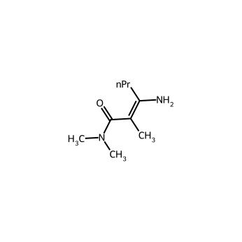 CCCC(N)=C(C)C(=O)N(C)C